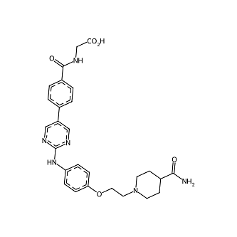 NC(=O)C1CCN(CCOc2ccc(Nc3ncc(-c4ccc(C(=O)NCC(=O)O)cc4)cn3)cc2)CC1